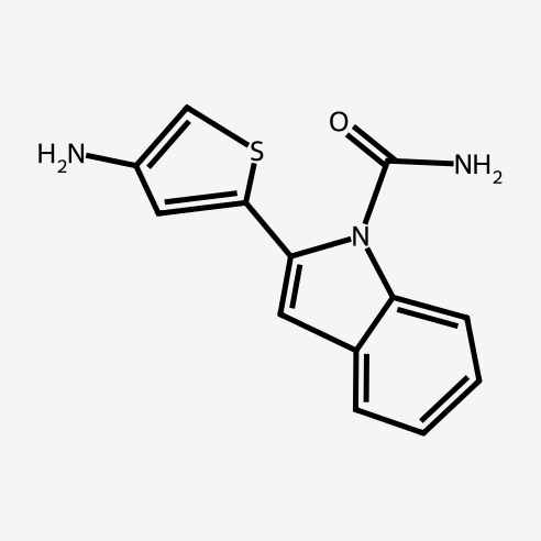 NC(=O)n1c(-c2cc(N)cs2)cc2ccccc21